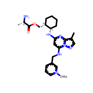 CO[n+]1cccc(CNc2cc(N[C@H]3CCCC[C@H]3COC(=O)[C@H](C)N)nc3c(C)cnn23)c1